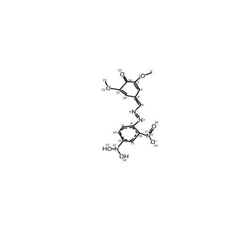 COC1=CC(=CN=Nc2ccc(N(O)O)cc2[N+](=O)[O-])C=C(OC)C1=O